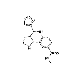 CNC(=O)c1ccc2c(c1)C1NCCC1C(c1ccco1)N2